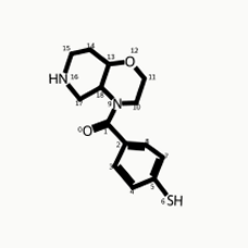 O=C(c1ccc(S)cc1)N1CCOC2CCNCC21